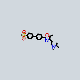 Cc1oc(-c2ccc(-c3ccc(S(C)(=O)=O)cc3)cc2)nc1CCN(C)C(C)C